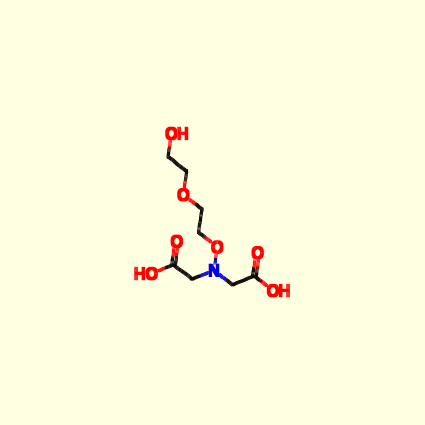 O=C(O)CN(CC(=O)O)OCCOCCO